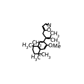 COc1cc2c(cc1C(Cc1ccno1)=C(C)C)C(C)(C)CCC2(C)C